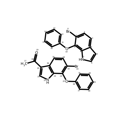 Brc1ccc2cc[nH]c2c1Oc1ccccc1.CC(=O)c1c[nH]c2c(Oc3ccccc3)c(Br)ccc12